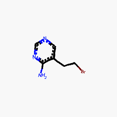 Nc1ncncc1CCBr